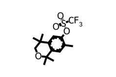 Cc1cc2c(cc1OS(=O)(=O)C(F)(F)F)C(C)(C)COC2(C)C